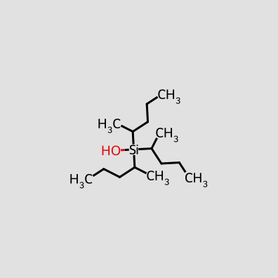 CCCC(C)[Si](O)(C(C)CCC)C(C)CCC